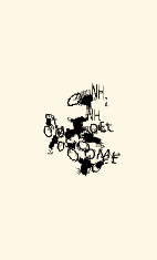 CCOC(C)(OC)O[Si](CCCNC(N)=O)(OC(C)(OC)OCC)OC(C)(OC)OCC